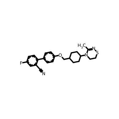 CC1=NSCCN1C1CCC(COc2ccc(-c3ccc(F)cc3C#N)cc2)CC1